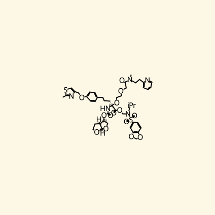 Cc1nc(COc2ccc(CCC[C@](NC(=O)O[C@H]3CO[C@H]4OCC[C@H]43)(OCCOCC(=O)N(C)CCc3ccccn3)C(=O)OCN(CC(C)C)S(=O)(=O)c3ccc4c(c3)OCO4)cc2)cs1